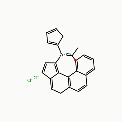 C[C](C)=[Zr+2]([C]1=CC=CC1)[C]1=C2C(=CCc3ccc4ccccc4c32)C=C1.[Cl-].[Cl-]